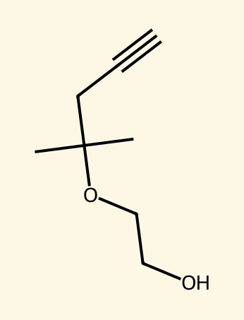 C#CCC(C)(C)OCCO